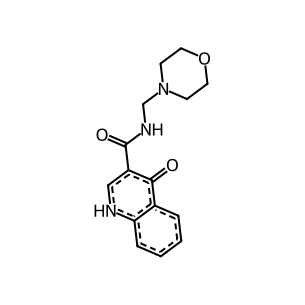 O=C(NCN1CCOCC1)c1c[nH]c2ccccc2c1=O